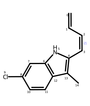 C=C/C=C\c1[nH]c2cc(Cl)ccc2c1C